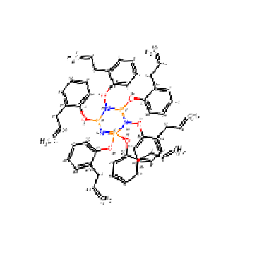 C=CCc1ccccc1ON1P(Oc2ccccc2CC=C)N=P(Oc2ccccc2CC=C)(Oc2ccccc2CC=C)N(Oc2ccccc2CC=C)P1Oc1ccccc1CC=C